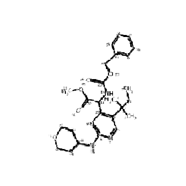 CCC(C)(C)c1cnc(NC2CCOCC2)nc1C(NC(=O)OCc1ccccc1)C(=O)OC